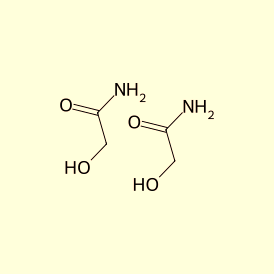 NC(=O)CO.NC(=O)CO